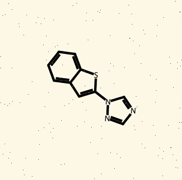 c1ccc2sc(-n3cncn3)cc2c1